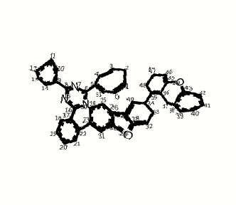 C1=CCC=CC(c2nc(-c3ccccc3)nc(-c3ccccc3-c3ccc4c5c(oc4c3)=CCC(C3=C4Cc6ccccc6OC4=CCC3)C=5)n2)=C1